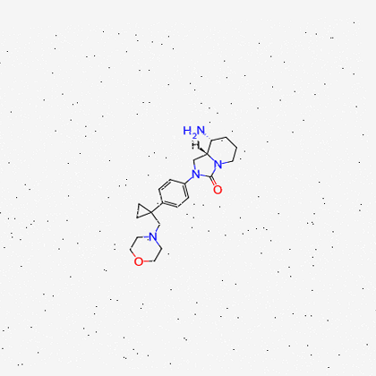 N[C@@H]1CCCN2C(=O)N(c3ccc(C4(CN5CCOCC5)CC4)cc3)C[C@H]12